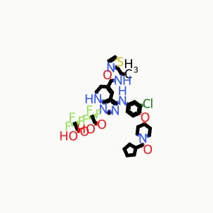 CC(NC(=O)C1=Cc2c(ncnc2Nc2ccc(OC3CCN(C(=O)C4CCCC4)CC3)c(Cl)c2)NCC1)c1nccs1.O=C(O)C(F)(F)F.O=C(O)C(F)(F)F